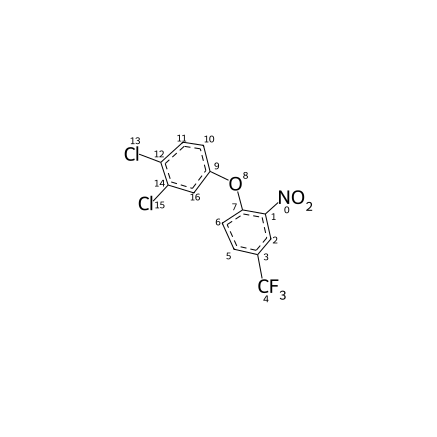 O=[N+]([O-])c1cc(C(F)(F)F)ccc1Oc1ccc(Cl)c(Cl)c1